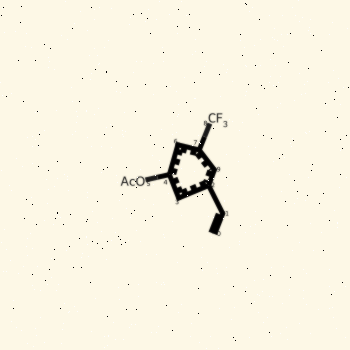 C=[C]c1cc(OC(C)=O)cc(C(F)(F)F)c1